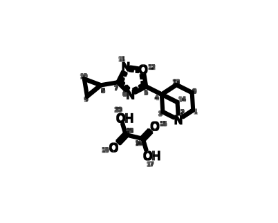 C1CN2CC(c3nc(C4CC4)no3)(C1)C2.O=C(O)C(=O)O